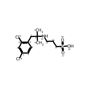 CC(C)(Cc1ccc(Cl)cc1Cl)NCCCS(=O)(=O)O